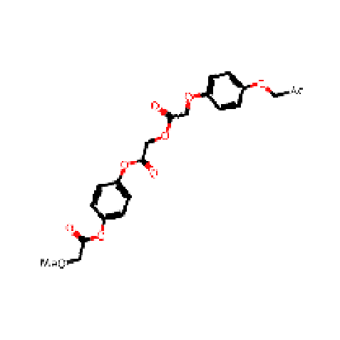 COCC(=O)Oc1ccc(OC(=O)COC(=O)COc2ccc(OCC(C)=O)cc2)cc1